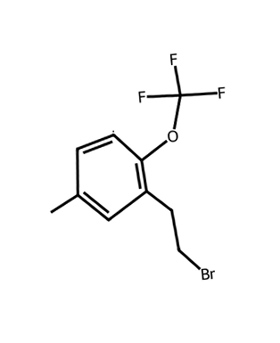 Cc1c[c]c(OC(F)(F)F)c(CCBr)c1